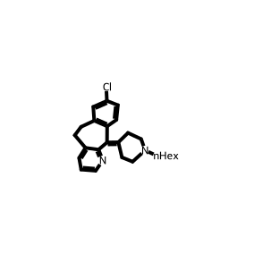 CCCCCCN1CCC(=C2c3ccc(Cl)cc3CCc3cccnc32)CC1